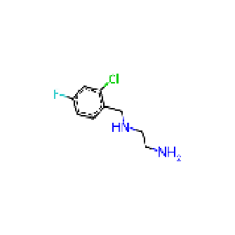 NCCNCc1ccc(F)cc1Cl